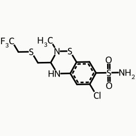 CN1Sc2cc(S(N)(=O)=O)c(Cl)cc2NC1CSCC(F)(F)F